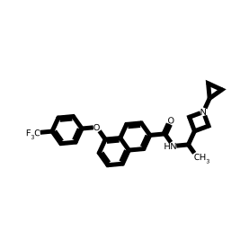 CC(NC(=O)c1ccc2c(Oc3ccc(C(F)(F)F)cc3)cccc2c1)C1CN(C2CC2)C1